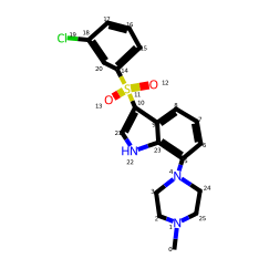 CN1CCN(c2cccc3c(S(=O)(=O)c4cccc(Cl)c4)c[nH]c23)CC1